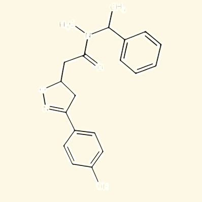 CC(c1ccccc1)N(C)C(=O)CC1CC(c2ccc(O)cc2)=NO1